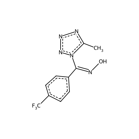 Cc1nnnn1C(=NO)c1ccc(C(F)(F)F)cc1